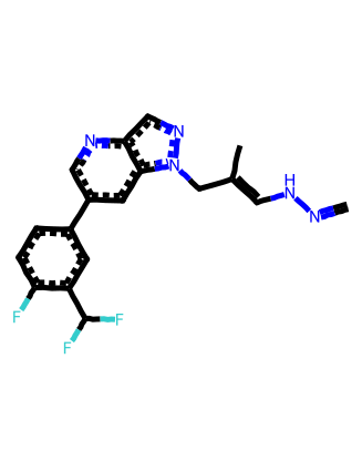 C=NN/C=C(\C)Cn1ncc2ncc(-c3ccc(F)c(C(F)F)c3)cc21